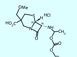 COCC1(C(=O)O)CS[C@@H]2[C@H](NC(C)OC(=O)OC(C)C)C(=O)N2C1.Cl